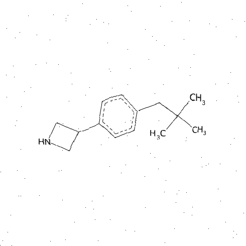 CC(C)(C)Cc1ccc(C2CNC2)cc1